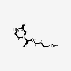 CCCCCCCCCCCOC(=O)N1CCNC(=O)C1